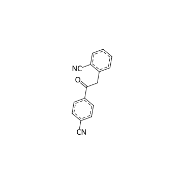 N#Cc1ccc(C(=O)Cc2ccccc2C#N)cc1